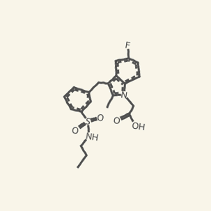 CCCNS(=O)(=O)c1cccc(Cc2c(C)n(CC(=O)O)c3ccc(F)cc23)c1